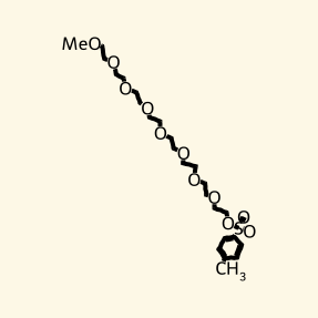 COCCOCCOCCOCCOCCOCCOCCOCCOS(=O)(=O)c1ccc(C)cc1